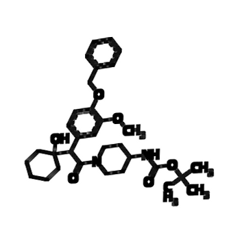 COc1cc(C(C(=O)N2CCC(NC(=O)OC(C)(C)C)CC2)C2(O)CCCCC2)ccc1OCc1ccccc1